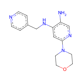 Nc1cnc(N2CCOCC2)cc1NCc1ccncc1